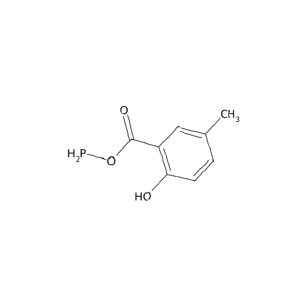 Cc1ccc(O)c(C(=O)OP)c1